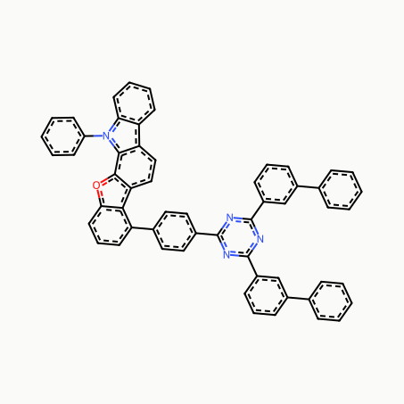 c1ccc(-c2cccc(-c3nc(-c4ccc(-c5cccc6oc7c(ccc8c9ccccc9n(-c9ccccc9)c87)c56)cc4)nc(-c4cccc(-c5ccccc5)c4)n3)c2)cc1